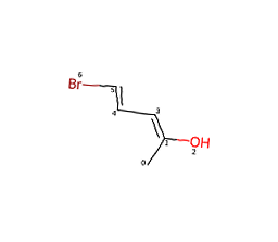 C/C(O)=C\C=CBr